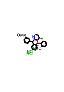 COc1cccc(C(c2ccccc2)C2C(N(C)c3ccccc3OC)[C@H]3CC[N@]2CC3)c1.Cl.Cl